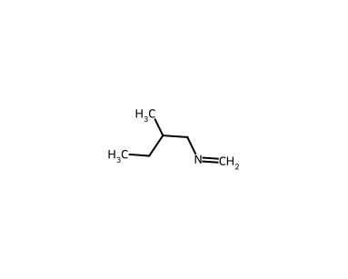 C=NCC(C)CC